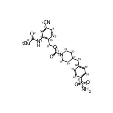 CC(C)(C)C(=O)Nc1cc(C#N)cnc1COC(=O)N1CCC(Cc2ccc(S(N)(=O)=O)cc2)CC1